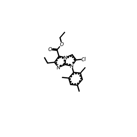 CCOC(=O)c1c(CC)nc2n(-c3c(C)cc(C)cc3C)c(Cl)cn12